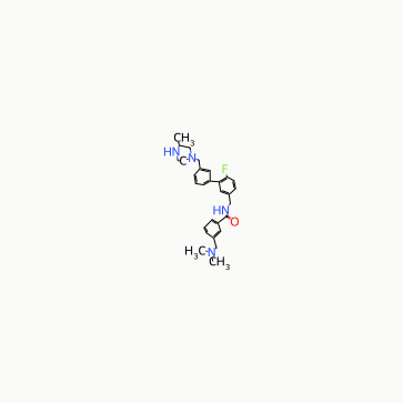 C[C@H]1CN(Cc2cccc(-c3cc(CNC(=O)c4cccc(CN(C)C)c4)ccc3F)c2)CCN1